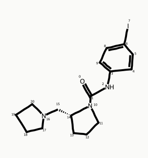 O=C(Nc1ccc(I)cc1)N1CCC[C@@H]1CN1CCCC1